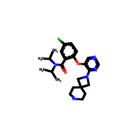 CC(C)N(C(=O)c1cc(F)ccc1Oc1cncnc1N1CC2(CCNCC2)C1)C(C)C